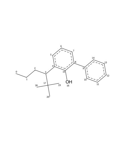 CCCC(c1cccc(-c2ccccc2)c1O)C(C)(C)C